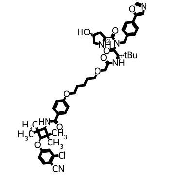 CC(C)(C)[C@H](NC(=O)COCCCCCOc1ccc(C(=O)N[C@H]2C(C)(C)[C@H](Oc3ccc(C#N)c(Cl)c3)C2(C)C)cc1)C(=O)N(Cc1ccc(-c2cnco2)cc1)C(=O)[C@@H]1C[C@@H](O)CN1